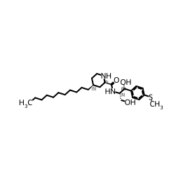 CCCCCCCCCCC[C@H]1CCN[C@@H](C(=O)N[C@@H](CO)[C@H](O)c2ccc(SC)cc2)C1